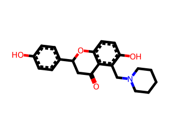 O=C1CC(c2ccc(O)cc2)Oc2ccc(O)c(CN3CCCCC3)c21